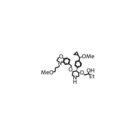 CCC(O)CO[C@@H]1CNC[C@H](OCc2ccc3c(c2)N(CCCOC)CCO3)[C@H]1c1ccc([C@H](OC)C2CC2)cc1